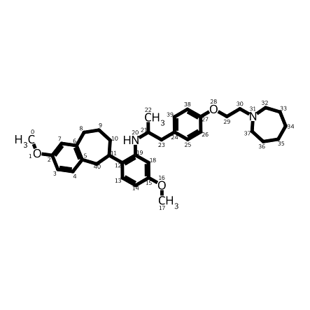 COc1ccc2c(c1)CCCC(c1ccc(OC)cc1NC(C)Cc1ccc(OCCN3CCCCCC3)cc1)C2